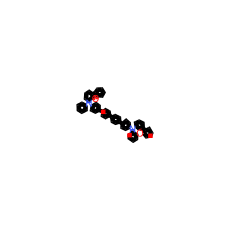 C1=CC(N(c2ccccc2)c2ccc(-c3ccc(-c4ccc(-c5ccc(N(c6ccccc6)c6cccc7c6oc6ccccc67)cc5)cc4)cc3)cc2)C2Oc3ccccc3C2=C1